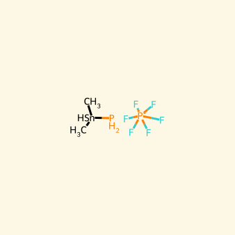 F[P-](F)(F)(F)(F)F.[CH3][SnH]([CH3])[PH2]